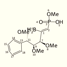 B/C(=C\P(=O)(O)OC)[C@@H](OC)[C@@H](OC)[C@@H](OC)c1ccccc1